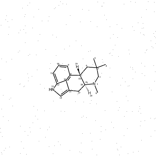 CN1CC(C)(C)C[C@H]2c3cccc4[nH]cc(c34)C[C@@H]21